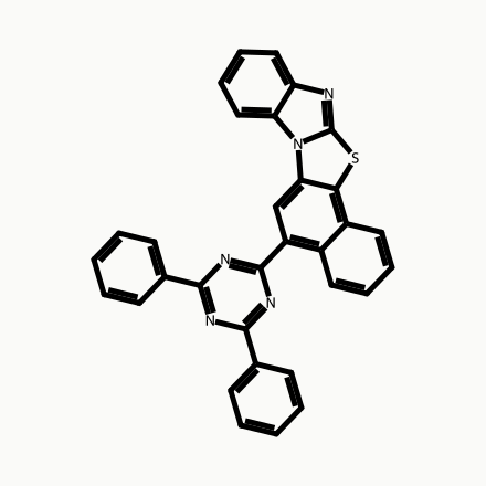 c1ccc(-c2nc(-c3ccccc3)nc(-c3cc4c(sc5nc6ccccc6n54)c4ccccc34)n2)cc1